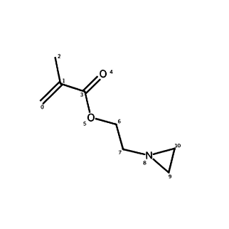 C=C(C)C(=O)OCCN1CC1